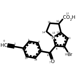 C#Cc1ccc(C(=O)c2c(Br)cc3n2CCC3C(=O)O)cc1